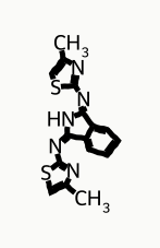 Cc1csc(/N=C2\N/C(=N/c3nc(C)cs3)c3ccccc32)n1